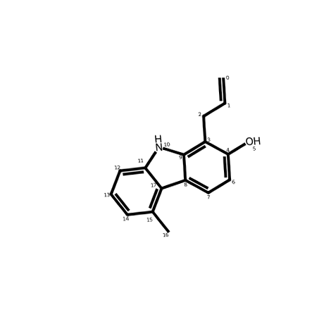 C=CCc1c(O)ccc2c1[nH]c1cccc(C)c12